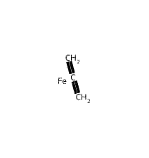 C=C=C.[Fe]